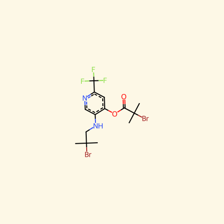 CC(C)(Br)CNc1cnc(C(F)(F)F)cc1OC(=O)C(C)(C)Br